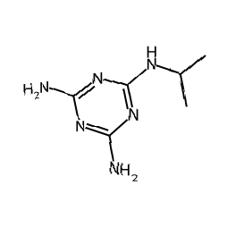 CC(C)Nc1nc(N)nc(N)n1